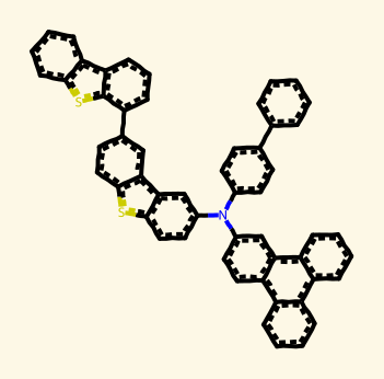 c1ccc(-c2ccc(N(c3ccc4sc5ccc(-c6cccc7c6sc6ccccc67)cc5c4c3)c3ccc4c5ccccc5c5ccccc5c4c3)cc2)cc1